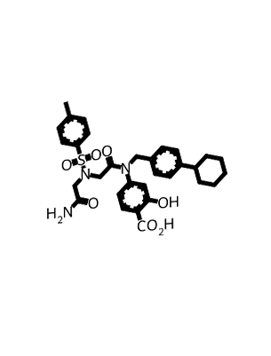 Cc1ccc(S(=O)(=O)N(CC(N)=O)CC(=O)N(Cc2ccc(C3CCCCC3)cc2)c2ccc(C(=O)O)c(O)c2)cc1